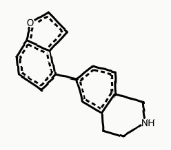 c1cc(-c2ccc3c(c2)CCNC3)c2ccoc2c1